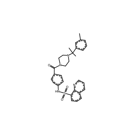 Cc1cccc(C(C)(C)N2CCN(C(=O)c3ccc(NS(=O)(=O)c4cccc5cccnc45)cc3)CC2)c1